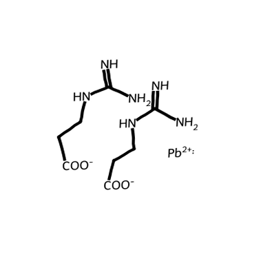 N=C(N)NCCC(=O)[O-].N=C(N)NCCC(=O)[O-].[Pb+2]